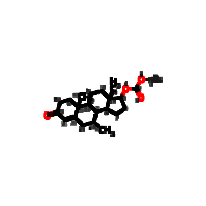 CCCCOC(=O)O[C@H]1CCC2C3C(CC[C@@]21C)[C@@]1(C)CCC(=O)C=C1C[C@@H]3C